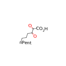 CCCCCCCCC(=O)C(=O)C(=O)O